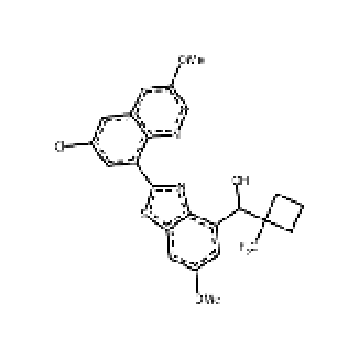 COc1cnc2c(-c3nc4c(C(O)C5(C(F)(F)F)CCC5)cc(OC)cc4s3)cc(Cl)cc2c1